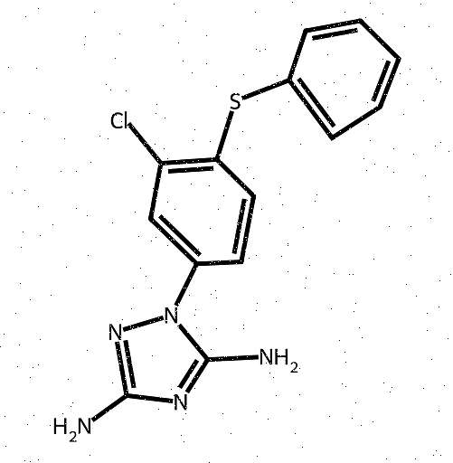 Nc1nc(N)n(-c2ccc(Sc3ccccc3)c(Cl)c2)n1